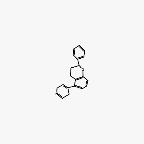 C1=NCC=C(c2cccc3c2CCC(c2ccccc2)O3)C1